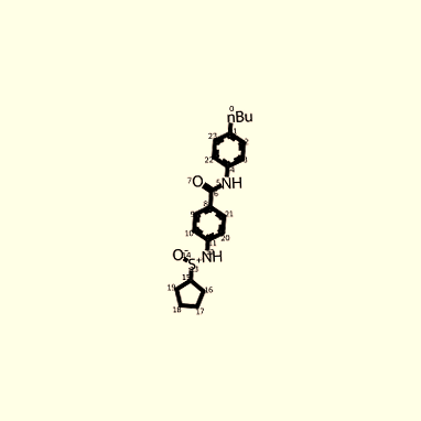 CCCCc1ccc(NC(=O)c2ccc(N[S+]([O-])C3CCCC3)cc2)cc1